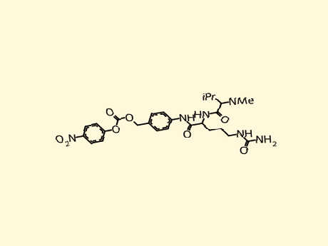 CNC(C(=O)NC(CCCNC(N)=O)C(=O)Nc1ccc(COC(=O)Oc2ccc([N+](=O)[O-])cc2)cc1)C(C)C